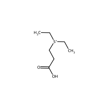 CC[S+](CC)CCC(=O)O